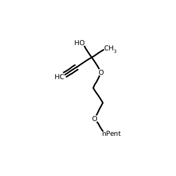 C#CC(C)(O)OCCOCCCCC